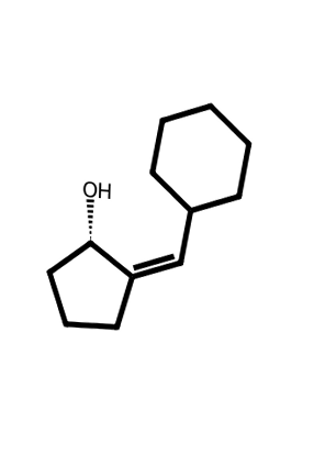 O[C@H]1CCCC1=CC1CCCCC1